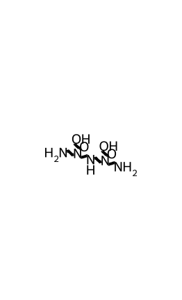 NCCN(CCNCCN(CCN)C(=O)CO)C(=O)CO